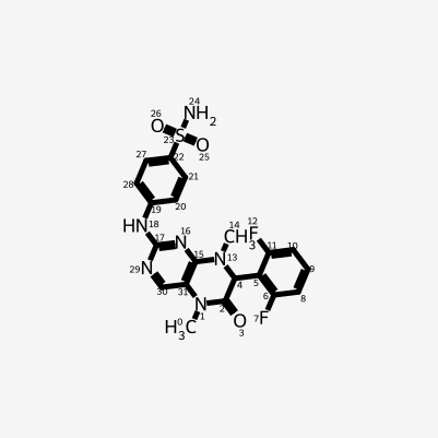 CN1C(=O)C(c2c(F)cccc2F)N(C)c2nc(Nc3ccc(S(N)(=O)=O)cc3)ncc21